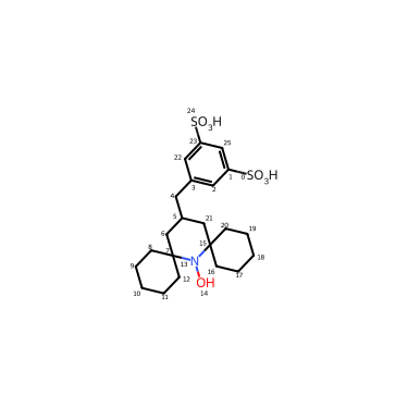 O=S(=O)(O)c1cc(CC2CC3(CCCCC3)N(O)C3(CCCCC3)C2)cc(S(=O)(=O)O)c1